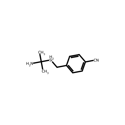 CC(C)(N)[SiH2]Cc1ccc(C#N)cc1